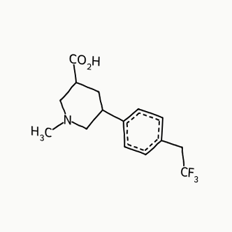 CN1CC(C(=O)O)CC(c2ccc(CC(F)(F)F)cc2)C1